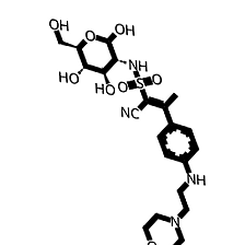 C/C(=C(/C#N)S(=O)(=O)N[C@H]1C(O)O[C@H](CO)[C@@H](O)[C@@H]1O)c1ccc(NCCN2CCOCC2)cc1